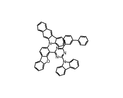 c1ccc(-c2cccc(-c3nc(-c4c(-n5c6ccccc6c6cc7ccccc7cc65)ccc5c4oc4ccccc45)nc(-n4c5ccccc5c5ccccc54)n3)c2)cc1